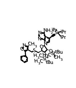 Cc1noc(-c2ccccc2)c1CSC[C@H]1O[C@@H](n2cc(C#C[Si](C(C)C)(C(C)C)C(C)C)c3c(N)ncnc32)[C@H](O[Si](C)(C)C(C)(C)C)[C@@H]1O[Si](C)(C)C(C)(C)C